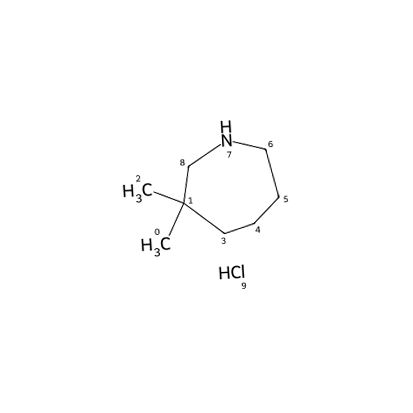 CC1(C)CCCCNC1.Cl